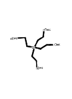 CCCCCCCCCCC[CH2][Zr]([CH2]CCCCCCCCCCC)([CH2]CCCCCCCCCCC)[CH2]CCCCCCCCCCC